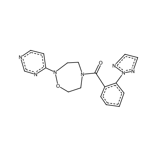 O=C(c1ccccc1-n1nccn1)N1CCON(c2ccncn2)CC1